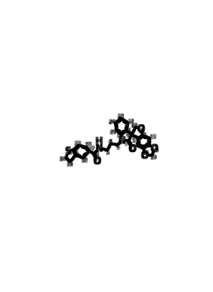 O=C(NCCCN1C(=O)C2(COc3cc4c(cc32)OCO4)c2ccccc21)c1ccc2c(c1)CCS2